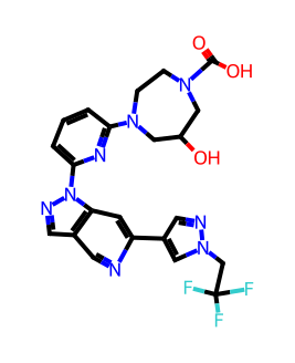 O=C(O)N1CCN(c2cccc(-n3ncc4cnc(-c5cnn(CC(F)(F)F)c5)cc43)n2)CC(O)C1